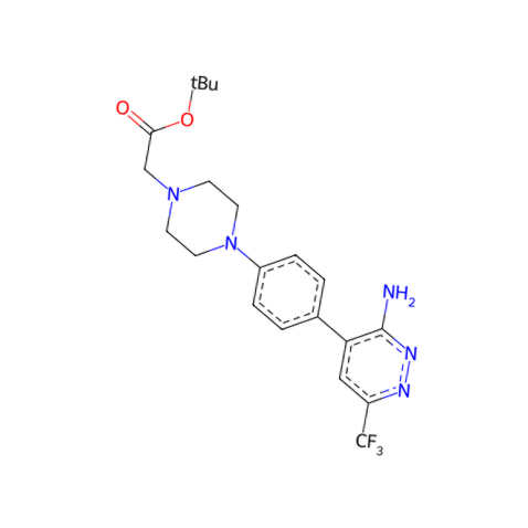 CC(C)(C)OC(=O)CN1CCN(c2ccc(-c3cc(C(F)(F)F)nnc3N)cc2)CC1